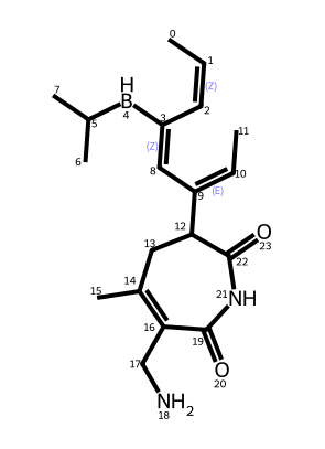 C\C=C/C(BC(C)C)=C\C(=C/C)C1CC(C)=C(CN)C(=O)NC1=O